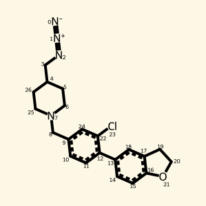 [N-]=[N+]=NCC1CCN(Cc2ccc(-c3ccc4c(c3)CCO4)c(Cl)c2)CC1